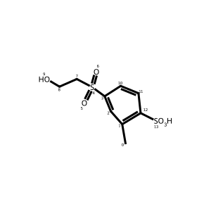 Cc1cc(S(=O)(=O)CCO)ccc1S(=O)(=O)O